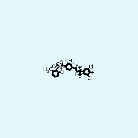 Cc1cc(C2=NOC(c3cc(Cl)c(F)c(Cl)c3)(C(F)(F)F)C2)ccc1C(=O)N=S(C)(=O)c1c(C)cccc1Cl